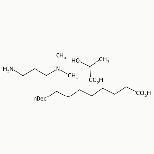 CC(O)C(=O)O.CCCCCCCCCCCCCCCCCC(=O)O.CN(C)CCCN